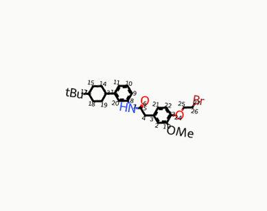 COc1cc(CC(=O)Nc2cccc(C3CCC(C(C)(C)C)CC3)c2)ccc1OCCBr